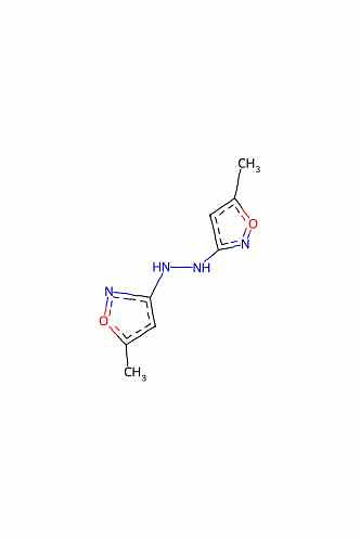 Cc1cc(NNc2cc(C)on2)no1